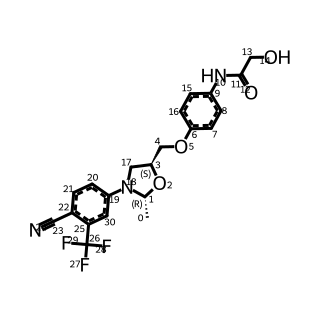 C[C@H]1O[C@H](COc2ccc(NC(=O)CO)cc2)CN1c1ccc(C#N)c(C(F)(F)F)c1